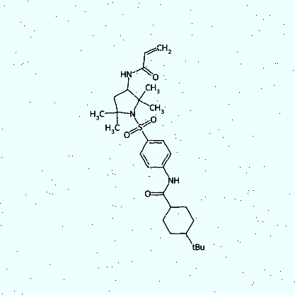 C=CC(=O)NC1CC(C)(C)N(S(=O)(=O)c2ccc(NC(=O)C3CCC(C(C)(C)C)CC3)cc2)C1(C)C